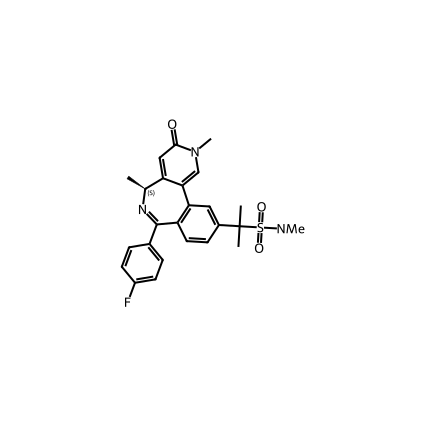 CNS(=O)(=O)C(C)(C)c1ccc2c(c1)-c1cn(C)c(=O)cc1[C@H](C)N=C2c1ccc(F)cc1